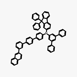 c1ccc(-c2cc(-c3ccccc3)cc(N(c3ccc(-c4ccc(-c5cccc(-c6ccc7ccccc7c6)c5)cc4)cc3)c3ccc4c(c3)C(c3ccccc3)(c3ccccc3)c3ccccc3-4)c2)cc1